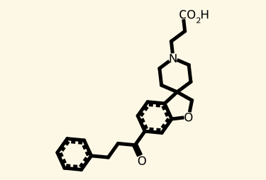 O=C(O)CCN1CCC2(CC1)COc1cc(C(=O)CCc3ccccc3)ccc12